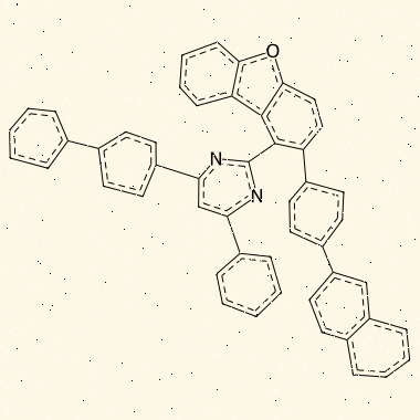 c1ccc(-c2ccc(-c3cc(-c4ccccc4)nc(-c4c(-c5ccc(-c6ccc7ccccc7c6)cc5)ccc5oc6ccccc6c45)n3)cc2)cc1